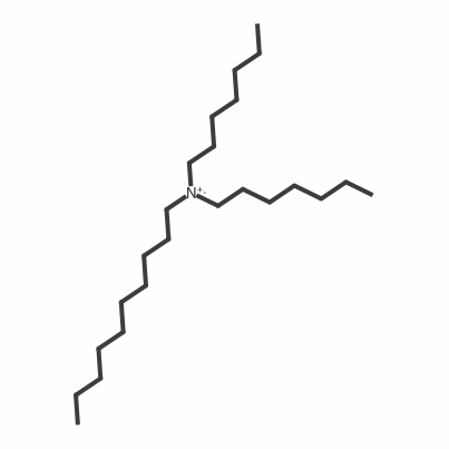 CCCCCCCCCC[N+](CCCCCCC)CCCCCCC